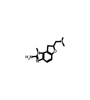 CN(C)CC1Cc2c(ccc3nc(N)n(C)c23)O1